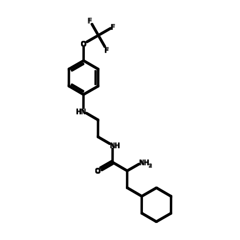 NC(CC1CCCCC1)C(=O)NCCNc1ccc(OC(F)(F)F)cc1